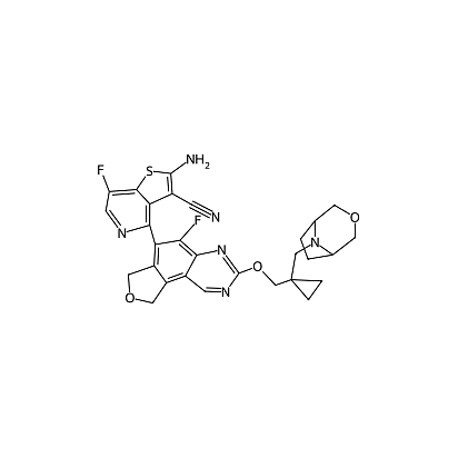 N#Cc1c(N)sc2c(F)cnc(-c3c4c(c5cnc(OCC6(CN7C8CCC7COC8)CC6)nc5c3F)COC4)c12